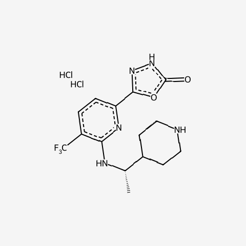 C[C@H](Nc1nc(-c2n[nH]c(=O)o2)ccc1C(F)(F)F)C1CCNCC1.Cl.Cl